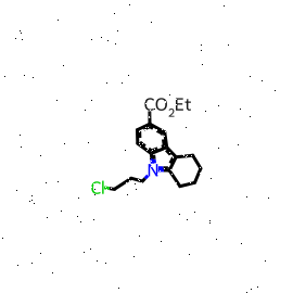 CCOC(=O)c1ccc2c(c1)c1c(n2CCCCl)CCCC1